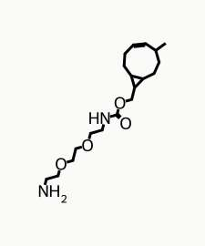 CC1/C=C\CCC2C(CC1)C2COC(=O)NCCOCCOCCN